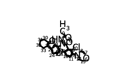 CC(=O)NN(C(=O)c1c(Cl)ccc(N2CCOCC2)c1Cl)c1cccc2c3c(oc12)CCCC3